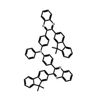 CC1(C)c2ccccc2-c2ccc(-c3nc4ccccc4nc3-c3ccc(N(c4ccccc4)c4ccc(-c5nc6ccccc6nc5-c5ccc6c(c5)C(C)(C)c5ccccc5-6)cc4)cc3)cc21